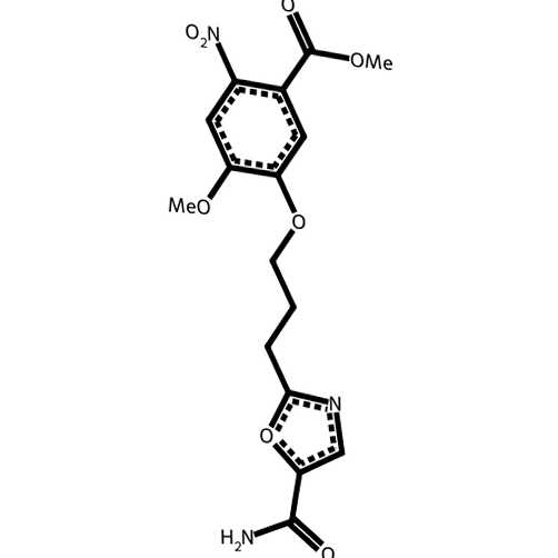 COC(=O)c1cc(OCCCc2ncc(C(N)=O)o2)c(OC)cc1[N+](=O)[O-]